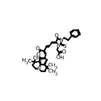 CC1(C)CCN2CCC(C)(C)c3c2c1cc1cc(C=CC=C2C(=O)N(CCc4ccccc4)C(=S)N2CC(=O)O)c(=O)oc31